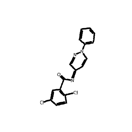 O=C(N=c1ccn(-c2ccccc2)nc1)c1cc(Cl)ccc1Cl